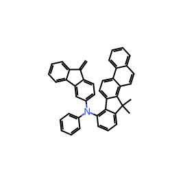 C=C1c2ccccc2-c2cc(N(c3ccccc3)c3cccc4c3-c3ccc5c(ccc6ccccc65)c3C4(C)C)ccc21